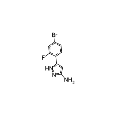 Nc1cc(-c2ccc(Br)cc2F)[nH]n1